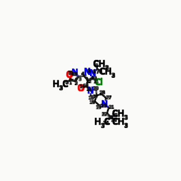 Cc1cc(-c2nn(C(C)C)c(Cl)c2C(=O)N2CC3(CCN(CCC(C)(C)C)CC3)C2)no1